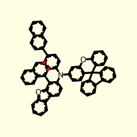 c1ccc2c(c1)Oc1cc(N(c3ccc(-c4ccc5ccccc5c4)cc3)c3ccc4c(oc5ccccc54)c3-c3cccc4ccccc34)ccc1C21c2ccccc2-c2ccccc21